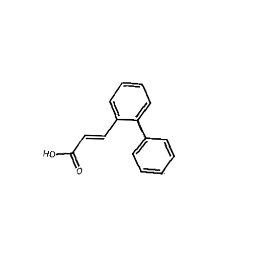 O=C(O)C=Cc1ccccc1-c1cc[c]cc1